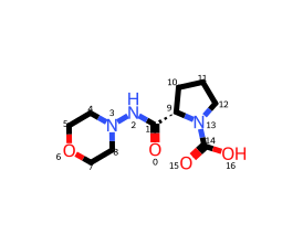 O=C(NN1CCOCC1)[C@@H]1CCCN1C(=O)O